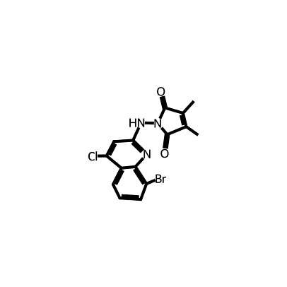 CC1=C(C)C(=O)N(Nc2cc(Cl)c3cccc(Br)c3n2)C1=O